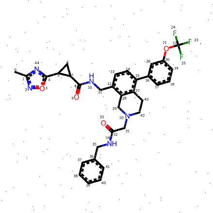 Cc1noc(C2CC2C(=O)NCc2ccc(-c3cccc(OC(F)(F)F)c3)c3c2CN(CC(=O)NCc2ccccc2)CC3)n1